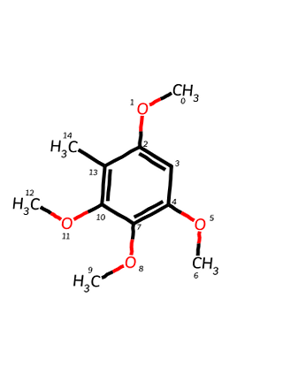 COc1cc(OC)c(OC)c(OC)c1C